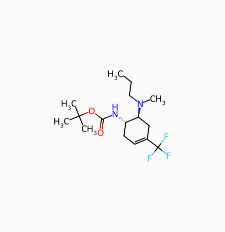 CCCN(C)[C@H]1CC(C(F)(F)F)=CC[C@@H]1NC(=O)OC(C)(C)C